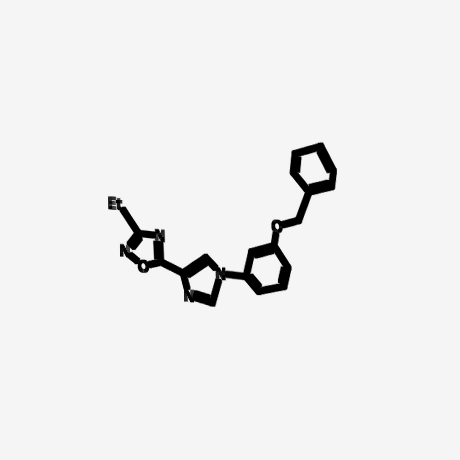 CCc1noc(-c2cn(-c3cccc(OCc4ccccc4)c3)cn2)n1